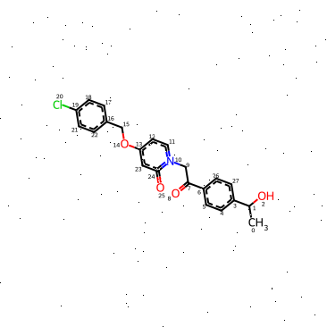 CC(O)c1ccc(C(=O)Cn2ccc(OCc3ccc(Cl)cc3)cc2=O)cc1